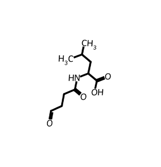 CC(C)CC(NC(=O)CCC=O)C(=O)O